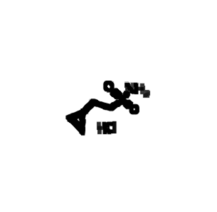 Cl.NS(=O)(=O)CCC1CC1